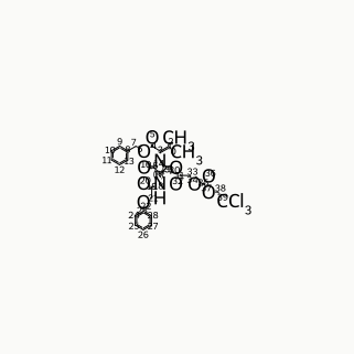 CC(C)=C(C(=O)OCc1ccccc1)N1C(=O)[C@H](NC(=O)COc2ccccc2)[C@@H]1OC(=O)COC(=O)OCC(Cl)(Cl)Cl